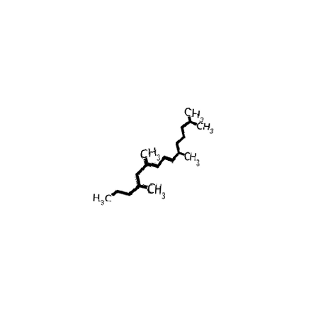 CCCC(C)CC(C)CCCC(C)CCCC(C)C